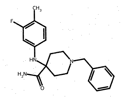 Cc1ccc(NC2(C(N)=O)CCN(Cc3ccccc3)CC2)cc1F